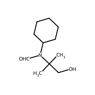 CC(C)(CO)N(C=O)C1CCCCC1